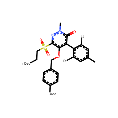 CCCCCCCCCCCCS(=O)(=O)c1nn(C)c(=O)c(-c2c(CC)cc(C)cc2CC)c1OCc1ccc(OC)cc1